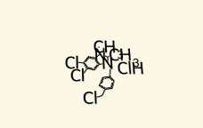 CC1N(C)c2cc(Cl)c(Cl)cc2N1Cc1ccc(CCl)cc1.Cl